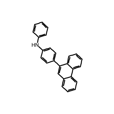 c1ccc(Nc2ccc(-c3cc4ccccc4c4ccccc34)cc2)cc1